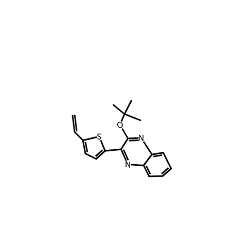 C=Cc1ccc(-c2nc3ccccc3nc2OC(C)(C)C)s1